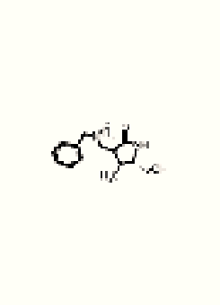 C[C@@H]1[C@@H](CO)NC(=O)[C@@H]1CN(C)Cc1ccccc1